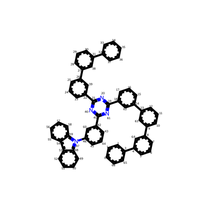 c1ccc(-c2cccc(-c3cccc(-c4cccc(-c5nc(-c6cccc(-c7cccc(-c8ccccc8)c7)c6)nc(-c6cccc(-n7c8ccccc8c8ccccc87)c6)n5)c4)c3)c2)cc1